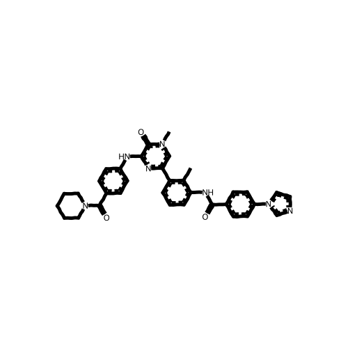 Cc1c(NC(=O)c2ccc(-n3ccnc3)cc2)cccc1-c1cn(C)c(=O)c(Nc2ccc(C(=O)N3CCCCC3)cc2)n1